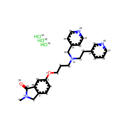 CN1Cc2ccc(OCCCN(CCc3cccnc3)Cc3ccncc3)cc2C1=O.Cl.Cl.Cl